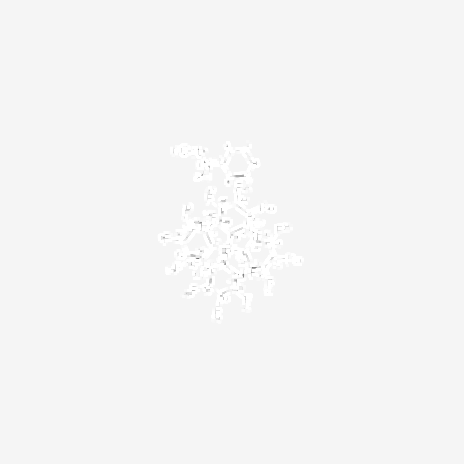 CCCCCCCC[NH+](C)c1ccccc1.Fc1c(F)c(F)c([B-](c2c(F)c(F)c(F)c(F)c2F)(c2c(F)c(F)c(F)c(F)c2F)c2c(F)c(F)c(F)c(F)c2F)c(F)c1F